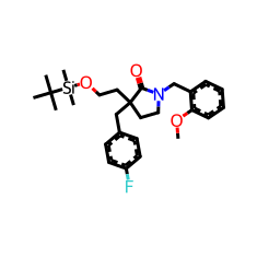 COc1ccccc1CN1CCC(CCO[Si](C)(C)C(C)(C)C)(Cc2ccc(F)cc2)C1=O